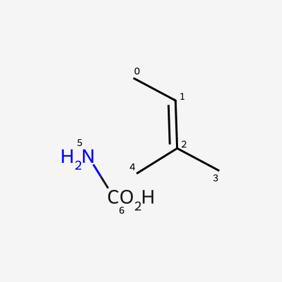 CC=C(C)C.NC(=O)O